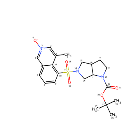 Cc1c[n+]([O-])cc2cccc(S(=O)(=O)N3CC4CCN(C(=O)OC(C)(C)C)C4C3)c12